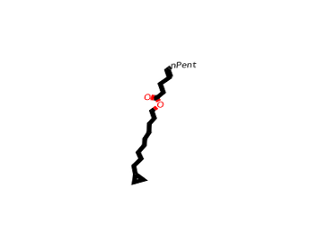 CCCCCC=CCCC(=O)OCCCCCCCCCC1CC1